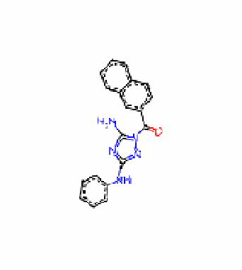 Nc1nc(Nc2ccccc2)nn1C(=O)c1ccc2ccccc2c1